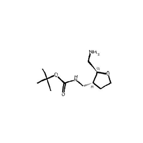 CC(C)(C)OC(=O)NC[C@H]1CCO[C@@H]1CN